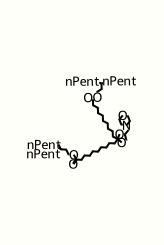 CCCCCC(CCCCC)CCOC(=O)CCCCCCCCCC1(CCCCCCCCCC(=O)OCCC(CCCCC)CCCCC)OCC(CN2CCOCC2)O1